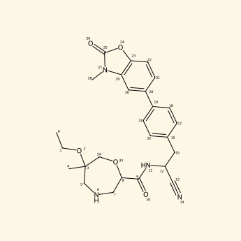 CCOC1(C)CNCC(C(=O)NC(C#N)Cc2ccc(-c3ccc4oc(=O)n(C)c4c3)cc2)OC1